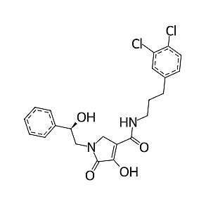 O=C(NCCCc1ccc(Cl)c(Cl)c1)C1=C(O)C(=O)N(C[C@H](O)c2ccccc2)C1